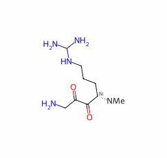 CN[C@@H](CCCNC(N)N)C(=O)C(=O)CN